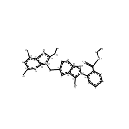 CCOC(=O)c1ccccc1-n1nc2ccc(Cn3c(CC)nc4c(C)cc(C)nc43)cc2c1Br